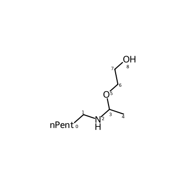 CCCCCCNC(C)OCCO